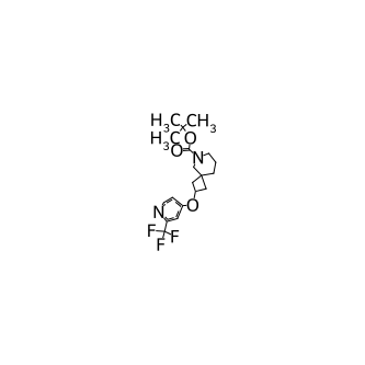 CC(C)(C)OC(=O)N1CCCC2(CC(Oc3ccnc(C(F)(F)F)c3)C2)C1